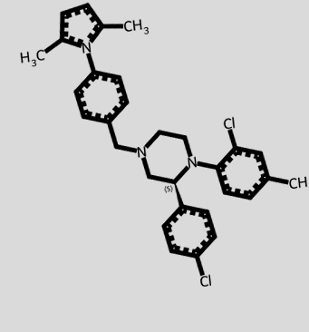 Cc1ccc(N2CCN(Cc3ccc(-n4c(C)ccc4C)cc3)C[C@@H]2c2ccc(Cl)cc2)c(Cl)c1